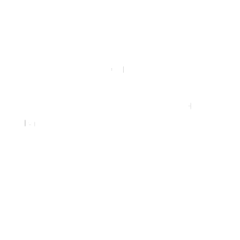 CCC(C)CCCC(C)CCC1(O)CCCC1